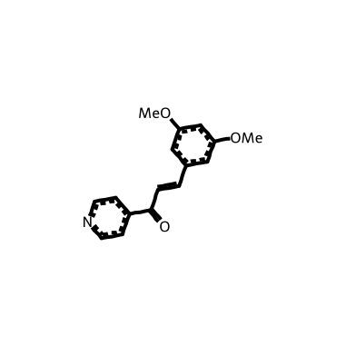 COc1cc(/C=C/C(=O)c2ccncc2)cc(OC)c1